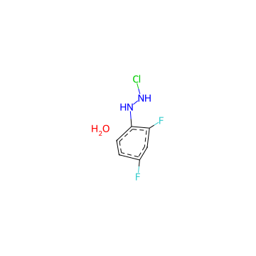 Fc1ccc(NNCl)c(F)c1.O